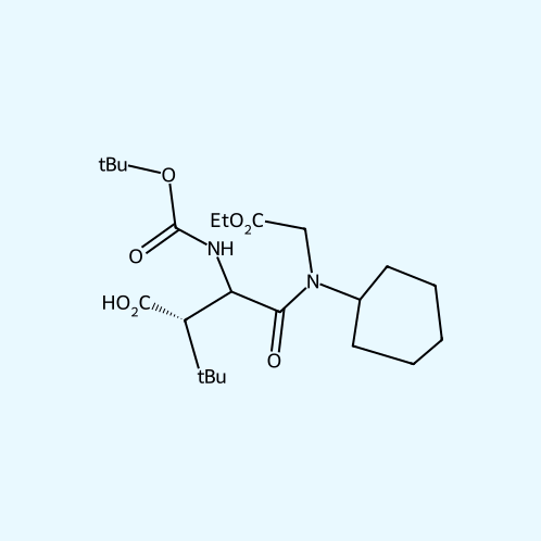 CCOC(=O)CN(C(=O)C(NC(=O)OC(C)(C)C)[C@@H](C(=O)O)C(C)(C)C)C1CCCCC1